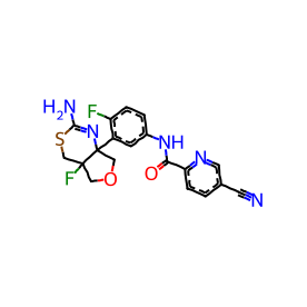 N#Cc1ccc(C(=O)Nc2ccc(F)c(C34COCC3(F)CSC(N)=N4)c2)nc1